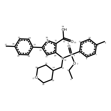 CCOP(=O)(c1ccc(C)cc1)N(CC1CCOCC1)c1cc(-c2ccc(C)cc2)sc1C(=O)O